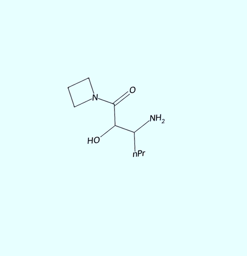 CCCC(N)C(O)C(=O)N1CCC1